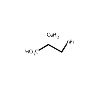 CCCCCC(=O)O.[CaH2]